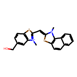 CN1/C(=C/c2sc3ccc(CO)cc3[n+]2C)Sc2ccc3ccccc3c21